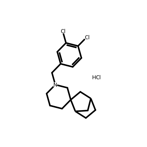 Cl.Clc1ccc(CN2CCCC3(CC4CCC3C4)C2)cc1Cl